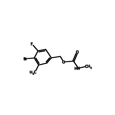 CNC(=O)OCc1cc(C)c(Br)c(F)c1